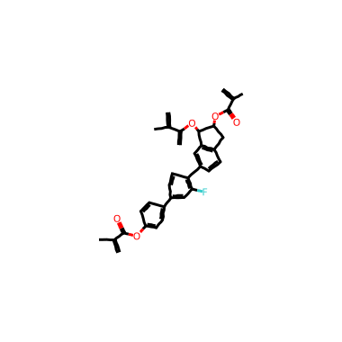 C=C(C)C(=C)OC1c2cc(-c3ccc(-c4ccc(OC(=O)C(=C)C)cc4)cc3F)ccc2CC1OC(=O)C(=C)C